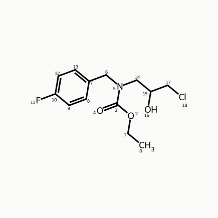 CCOC(=O)N(Cc1ccc(F)cc1)CC(O)CCl